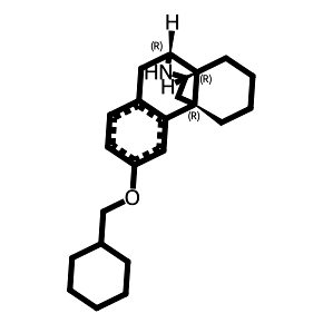 c1cc2c(cc1OCC1CCCCC1)[C@@]13CCCC[C@H]1[C@@H](C2)NCC3